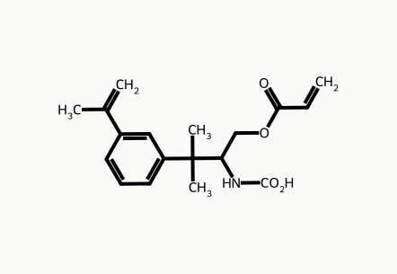 C=CC(=O)OCC(NC(=O)O)C(C)(C)c1cccc(C(=C)C)c1